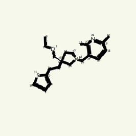 CCOC[C@@]1(CCc2cccs2)CCN(Cc2ccc(C)nc2C)C1